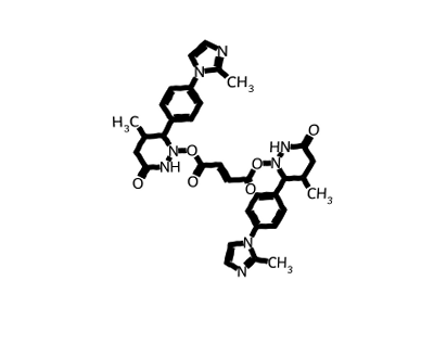 Cc1nccn1-c1ccc(C2C(C)CC(=O)NN2OC(=O)/C=C/C(=O)ON2NC(=O)CC(C)C2c2ccc(-n3ccnc3C)cc2)cc1